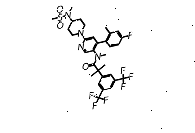 Cc1cc(F)ccc1-c1cc(N2CCC(N(C)S(C)(=O)=O)CC2)ncc1N(C)C(=O)C(C)(C)c1cc(C(F)(F)F)cc(C(F)(F)F)c1